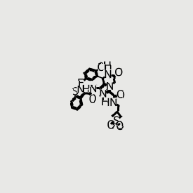 O=C1Cn2c(C(=O)NCC3CS(=O)(=O)C3)nc(NC(=O)c3nsc4ccccc34)c2[C@@H](c2cc(F)ccc2Cl)N1